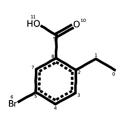 CCc1ccc(Br)cc1C(=O)O